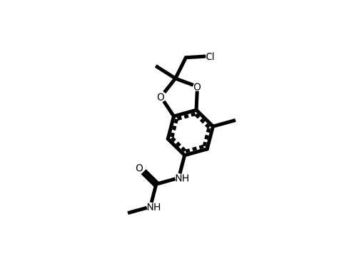 CNC(=O)Nc1cc(C)c2c(c1)OC(C)(CCl)O2